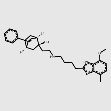 COc1ccc(C)c2nc(CCCCNCC[C@]3(O)C[C@H]4CC[C@@H]3C=C4c3ccccc3)[nH]c12